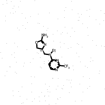 CCN(C[C@H]1COC(N)=N1)c1ccnc(C(F)(F)F)n1